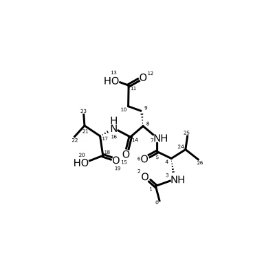 CC(=O)N[C@H](C(=O)N[C@@H](CCC(=O)O)C(=O)N[C@H](C(=O)O)C(C)C)C(C)C